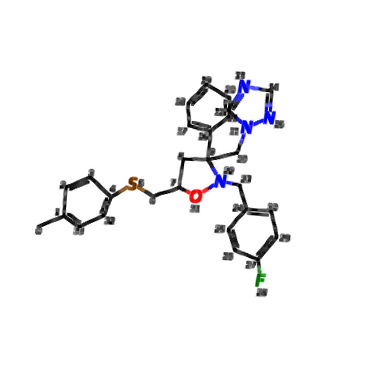 Cc1ccc(SCC2CC(Cn3cncn3)(c3ccccc3)N(Cc3ccc(F)cc3)O2)cc1